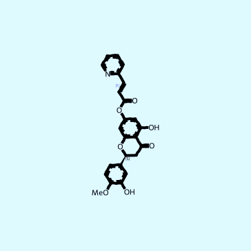 COc1ccc([C@@H]2CC(=O)c3c(O)cc(OC(=O)/C=C/c4ccccn4)cc3O2)cc1O